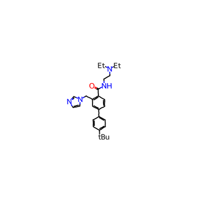 CCN(CC)CCNC(=O)c1ccc(-c2ccc(C(C)(C)C)cc2)cc1Cn1ccnc1